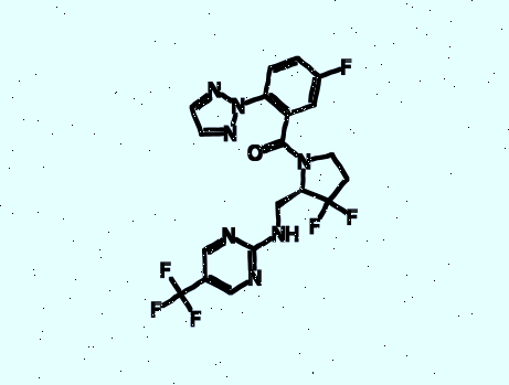 O=C(c1cc(F)ccc1-n1nccn1)N1CCC(F)(F)[C@H]1CNc1ncc(C(F)(F)F)cn1